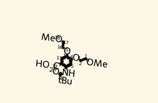 COCCOc1cc(NC(=O)C(C)(C)C)c(C(=O)O)cc1OCCOC